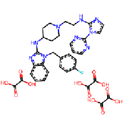 Fc1ccc(Cn2c(NC3CCN(CCNc4nccn4-c4ncccn4)CC3)nc3ccccc32)cc1.O=C(O)C(=O)O.O=C(O)C(=O)O.O=C(O)C(=O)O